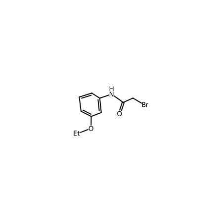 CCOc1cccc(NC(=O)CBr)c1